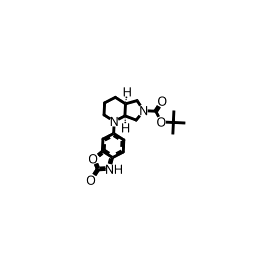 CC(C)(C)OC(=O)N1C[C@@H]2CCCN(c3ccc4[nH]c(=O)oc4c3)[C@@H]2C1